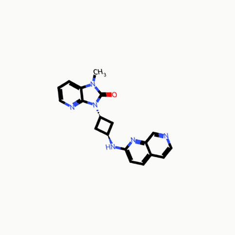 Cn1c(=O)n([C@H]2C[C@H](Nc3ccc4ccncc4n3)C2)c2ncccc21